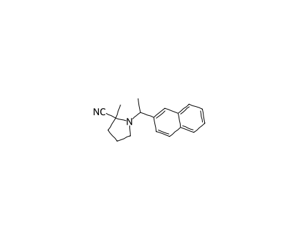 CC(c1ccc2ccccc2c1)N1CCCC1(C)C#N